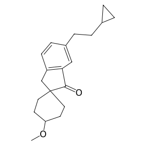 COC1CCC2(CC1)Cc1ccc(CCC3CC3)cc1C2=O